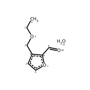 CCOCc1ccoc1C=O.O